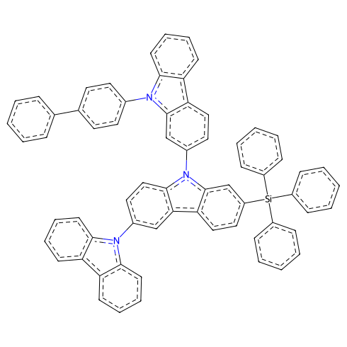 c1ccc(-c2ccc(-n3c4ccccc4c4ccc(-n5c6ccc(-n7c8ccccc8c8ccccc87)cc6c6ccc([Si](c7ccccc7)(c7ccccc7)c7ccccc7)cc65)cc43)cc2)cc1